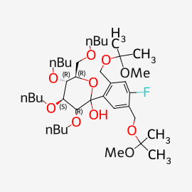 CCCCOC[C@H]1OC(O)(c2cc(COC(C)(C)OC)c(F)cc2COC(C)(C)OC)[C@H](OCCCC)[C@@H](OCCCC)[C@@H]1OCCCC